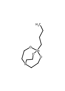 CCC[CH2][Sn]12[O]CCN(CC[O]1)CC[O]2